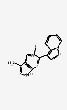 Nc1n[nH]c2nc(-c3cnn4ccccc34)c(F)cc12